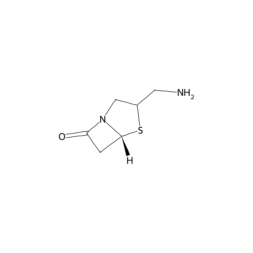 NCC1CN2C(=O)C[C@H]2S1